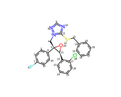 Fc1ccc([C@]2(Cn3ncnc3SCc3ccccc3)O[C@H]2c2ccccc2Cl)cc1